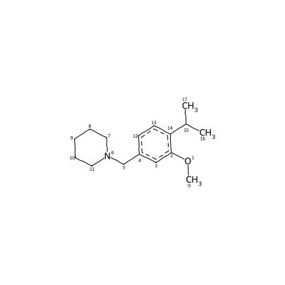 COc1cc(CN2CCCCC2)ccc1C(C)C